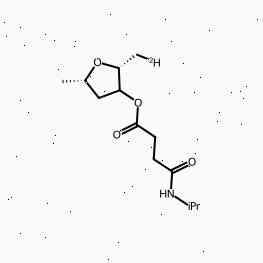 [2H]C[C@H]1O[C@@H](C)CC1OC(=O)CCC(=O)NC(C)C